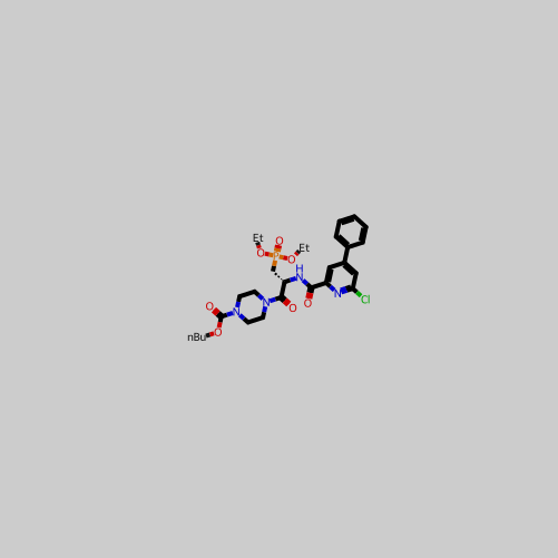 CCCCOC(=O)N1CCN(C(=O)[C@H](CP(=O)(OCC)OCC)NC(=O)c2cc(-c3ccccc3)cc(Cl)n2)CC1